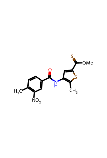 COC(=S)c1cc(NC(=O)c2ccc(C)c([N+](=O)[O-])c2)c(C)s1